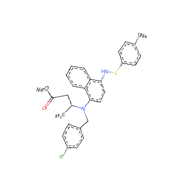 COC(=O)CC(C)N(Cc1ccc(Cl)cc1)c1ccc(NSc2ccc(OC)cc2)c2ccccc12